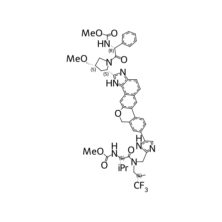 COC[C@H]1C[C@@H](c2nc3ccc4cc5c(cc4c3[nH]2)OCc2cc(-c3cnc(CN(C[C@H](C)C(F)(F)F)C(=O)[C@@H](NC(=O)OC)C(C)C)[nH]3)ccc2-5)N(C(=O)[C@H](NC(=O)OC)c2ccccc2)C1